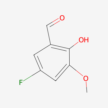 COc1cc(F)cc(C=O)c1O